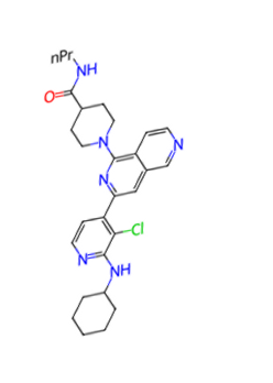 CCCNC(=O)C1CCN(c2nc(-c3ccnc(NC4CCCCC4)c3Cl)cc3cnccc23)CC1